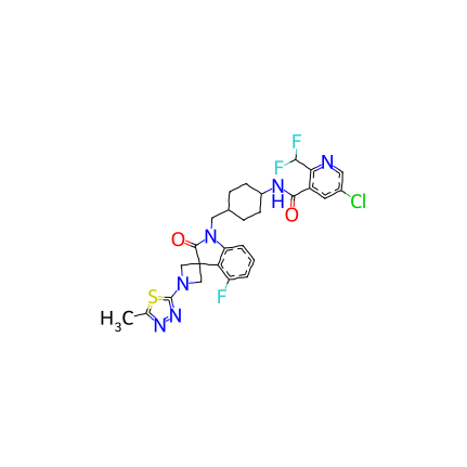 Cc1nnc(N2CC3(C2)C(=O)N(CC2CCC(NC(=O)c4cc(Cl)cnc4C(F)F)CC2)c2cccc(F)c23)s1